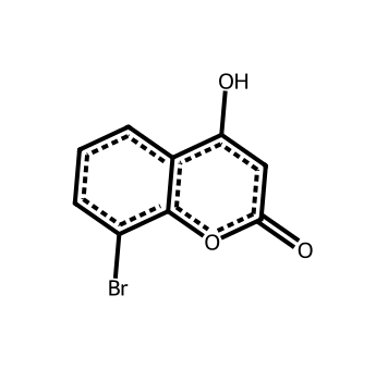 O=c1cc(O)c2cccc(Br)c2o1